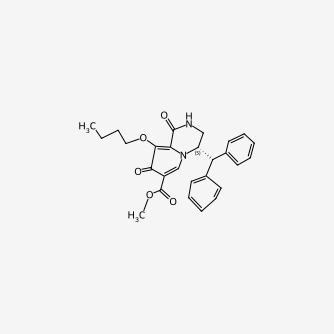 CCCCOc1c2n(cc(C(=O)OC)c1=O)[C@@H](C(c1ccccc1)c1ccccc1)CNC2=O